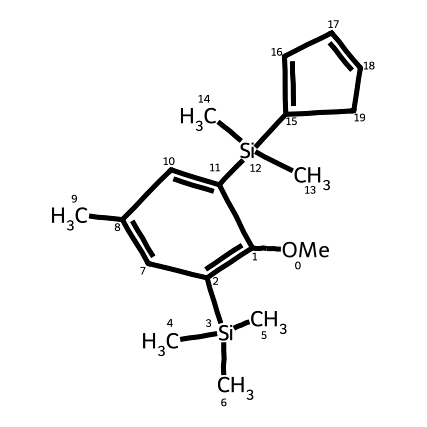 COc1c([Si](C)(C)C)cc(C)cc1[Si](C)(C)C1=CC=CC1